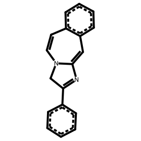 C1=CN2CC(c3ccccc3)=NC2=Cc2ccccc21